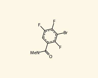 CNC(=O)c1cc(F)c(F)c(Br)c1F